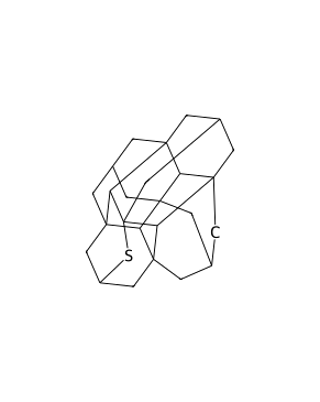 C1C2CC34CC5CC67CC8CC1(C36)C1C3(C2)CC2CC1(C8)C7C(C5)(S2)C43